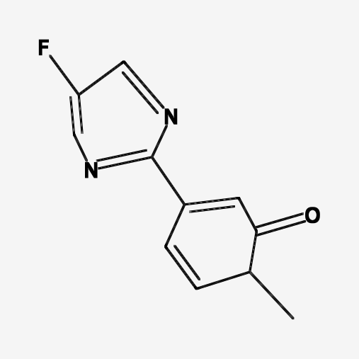 CC1C=CC(c2ncc(F)cn2)=CC1=O